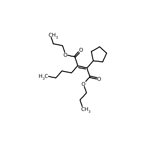 CCCCC(C(=O)OCCC)=C(C(=O)OCCC)C1CCCC1